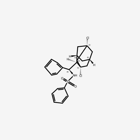 O=S(=O)(N[C@@H](c1ccccc1)[C@H]1[C@H]2C[C@@H]3C[C@](Cl)(C2)C[C@@]1(Cl)C3)c1ccccc1